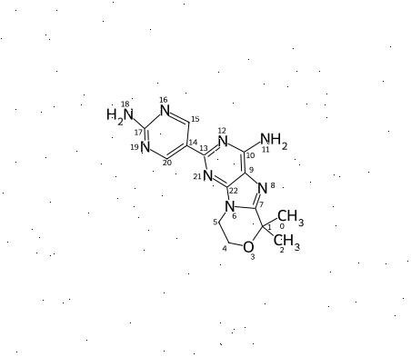 CC1(C)OCCn2c1nc1c(N)nc(-c3cnc(N)nc3)nc12